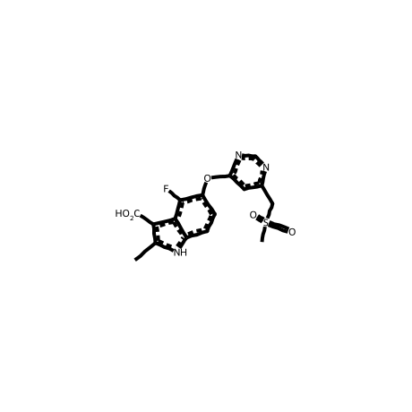 Cc1[nH]c2ccc(Oc3cc(CS(C)(=O)=O)ncn3)c(F)c2c1C(=O)O